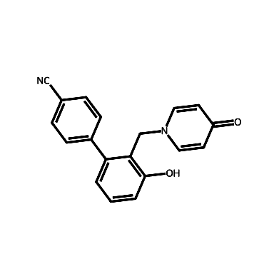 N#Cc1ccc(-c2cccc(O)c2Cn2ccc(=O)cc2)cc1